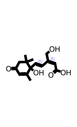 CC1=CC(=O)CC(C)(C)C1(O)/C=C/C(=C\C(=O)O)CO